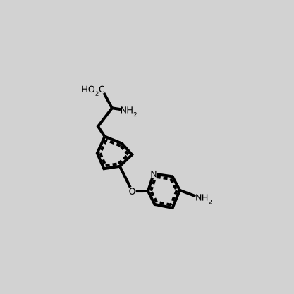 Nc1ccc(Oc2ccc(CC(N)C(=O)O)cc2)nc1